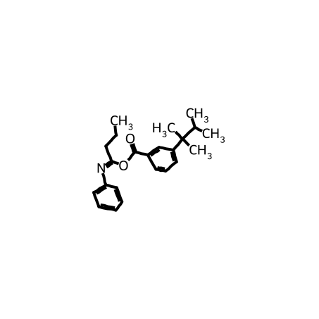 CCCC(=Nc1ccccc1)OC(=O)c1cccc(C(C)(C)C(C)C)c1